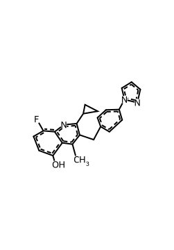 Cc1c(Cc2ccc(-n3cccn3)cc2)c(C2CC2)nc2c(F)ccc(O)c12